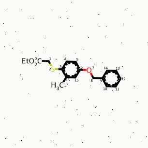 CCOC(=O)CSc1ccc(OCc2ccccc2)cc1C